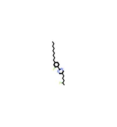 CCCCCCCCCc1ccc(-c2ncc(CCCC(C)F)cn2)c(F)c1